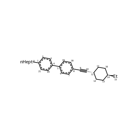 CCCCCCCc1ccc(-c2ccc(C#C[C@H]3CC[C@H](CC)CC3)cc2)cc1